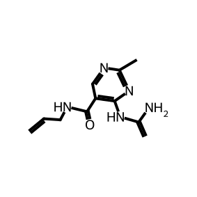 C=CCNC(=O)c1cnc(C)nc1NC(=C)N